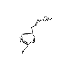 ON=CCc1ccc(F)nc1